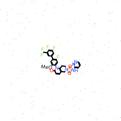 COc1cc(-c2cc(F)c(F)c(C(F)F)c2)c(F)cc1-n1c2c(ccc1=O)CN(S(=O)(=O)Nc1cccnn1)CC2